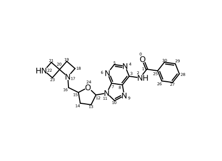 O=C(Nc1ncnc2c1ncn2C1CCC(CN2CCC23CNC3)O1)c1ccccc1